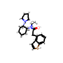 CN(C(=O)Cc1cccc2sccc12)[C@@H]1CCCC[C@H]1N1CCCC1